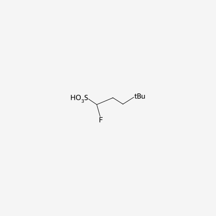 CC(C)(C)CCC(F)S(=O)(=O)O